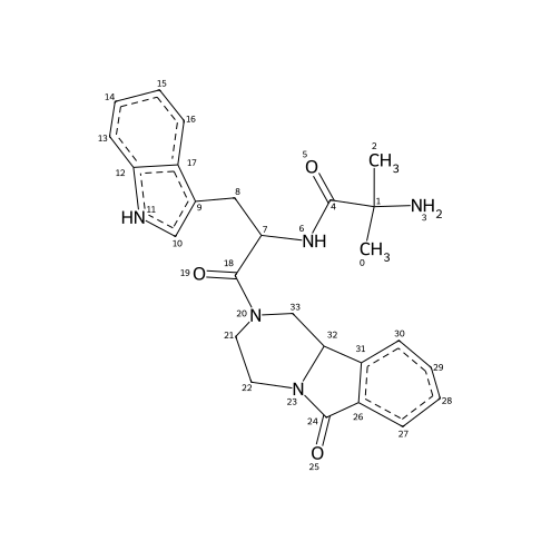 CC(C)(N)C(=O)NC(Cc1c[nH]c2ccccc12)C(=O)N1CCN2C(=O)c3ccccc3C2C1